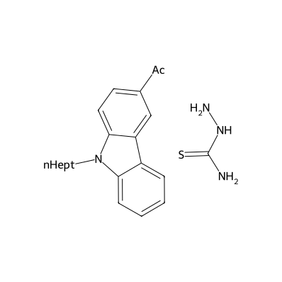 CCCCCCCn1c2ccccc2c2cc(C(C)=O)ccc21.NNC(N)=S